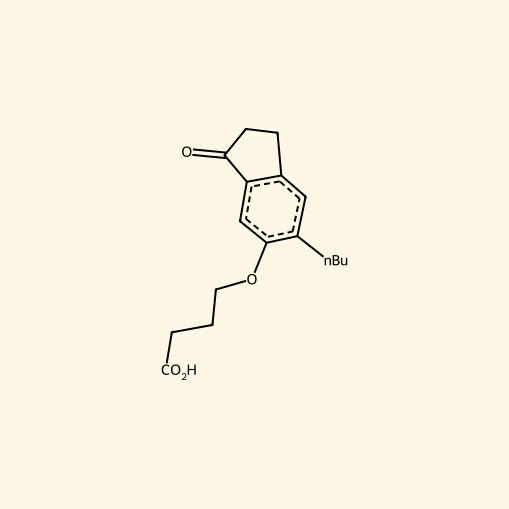 CCCCc1cc2c(cc1OCCCC(=O)O)C(=O)CC2